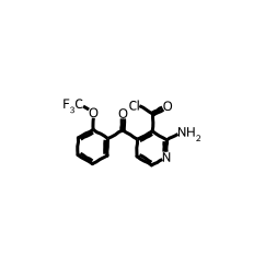 Nc1nccc(C(=O)c2ccccc2OC(F)(F)F)c1C(=O)Cl